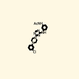 CC(=O)Nc1cccc(Nc2ncnc(N3CCN(c4cccc(Cl)c4)CC3)n2)c1